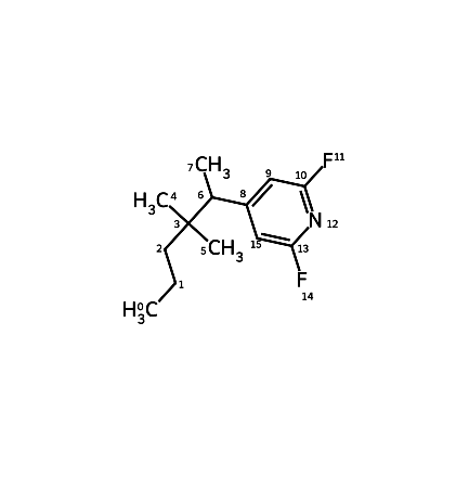 CCCC(C)(C)C(C)c1cc(F)nc(F)c1